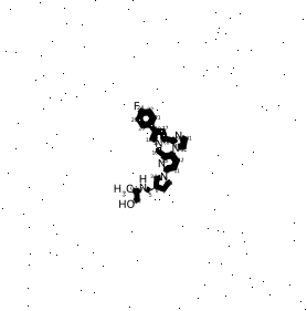 CC(CO)NC[C@H]1CCN(c2ccc3c(n2)Cn2cc(-c4ccc(F)cc4)cc2-c2nccn2-3)C1